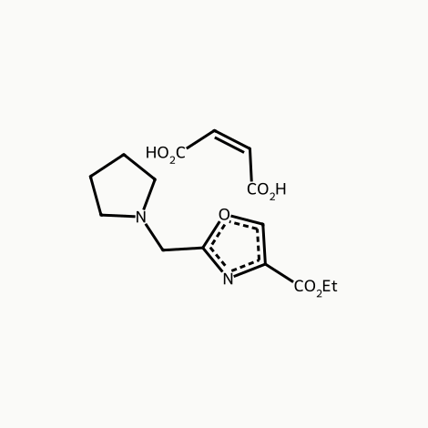 CCOC(=O)c1coc(CN2CCCC2)n1.O=C(O)/C=C\C(=O)O